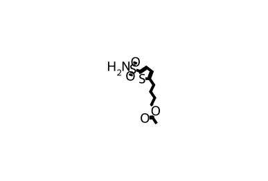 CC(=O)OCCCCc1ccc(S(N)(=O)=O)s1